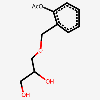 CC(=O)Oc1ccccc1COCC(O)CO